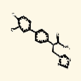 NC(=O)C(Cn1cncn1)c1ccc(-c2ccc(F)c(Cl)c2)cc1